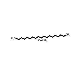 CCCCCCCCCCCCCCCCCC[SiH3].CCl